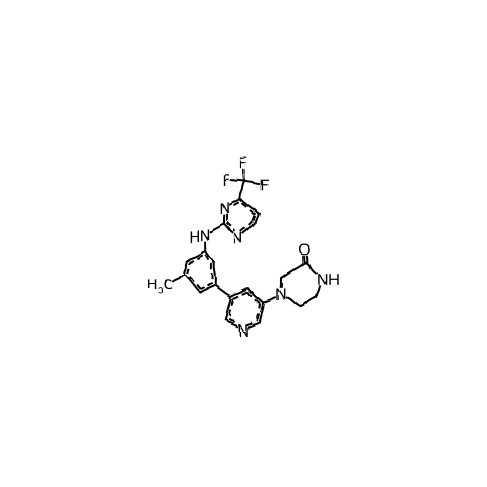 Cc1cc(Nc2nccc(C(F)(F)F)n2)cc(-c2cncc(N3CCNC(=O)C3)c2)c1